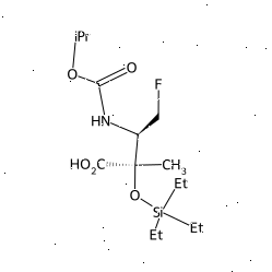 CC[Si](CC)(CC)O[C@@](C)(C(=O)O)[C@H](CF)NC(=O)OC(C)C